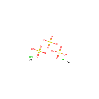 Cl.Cl.O=S(=O)(O)O.O=S(=O)(O)O.O=S(=O)(O)O.[Cu].[Cu]